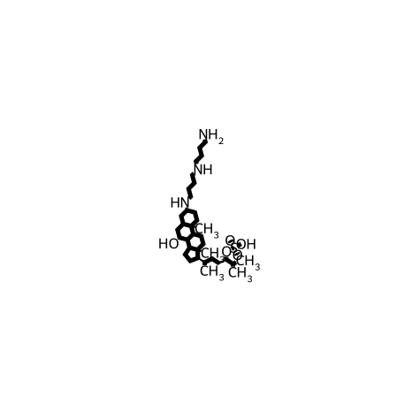 CC(CC[C@@H](OS(=O)(=O)O)C(C)C)[C@H]1CCC2C3C(CC[C@@]21C)[C@@]1(C)CC[C@H](NCCCCNCCCCN)CC1C[C@@H]3O